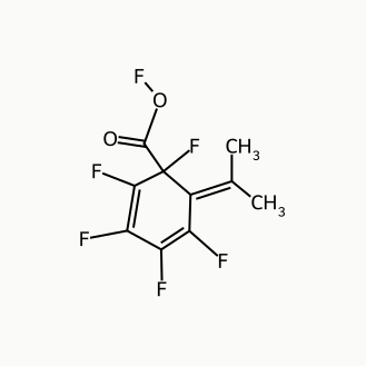 CC(C)=C1C(F)=C(F)C(F)=C(F)C1(F)C(=O)OF